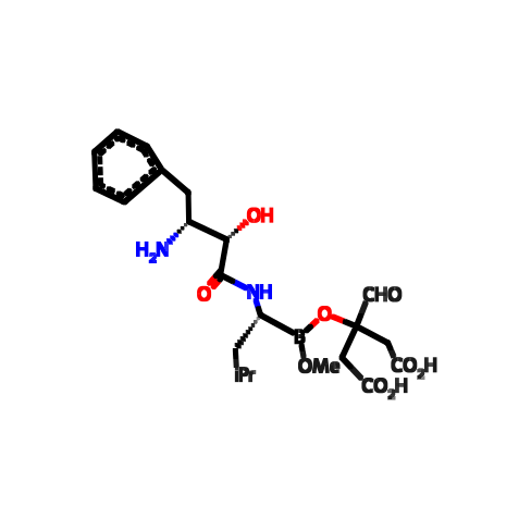 COB(OC(C=O)(CC(=O)O)CC(=O)O)[C@H](CC(C)C)NC(=O)[C@@H](O)[C@H](N)Cc1ccccc1